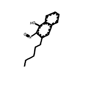 CCCCCc1cc2ccccc2c(O)c1N=O